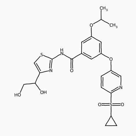 CC(C)Oc1cc(Oc2ccc(S(=O)(=O)C3CC3)nc2)cc(C(=O)Nc2nc(C(O)CO)cs2)c1